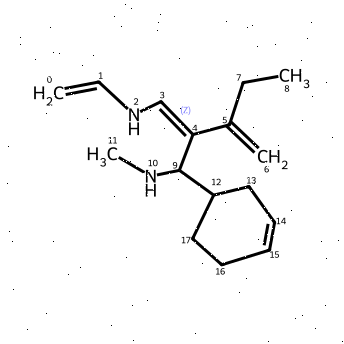 C=CN/C=C(/C(=C)CC)C(NC)C1CC=CCC1